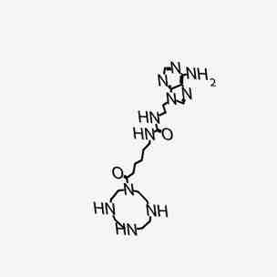 Nc1ncnc2c1ncn2CCNC(=O)NCCCCCC(=O)N1CCNCCNCCNCC1